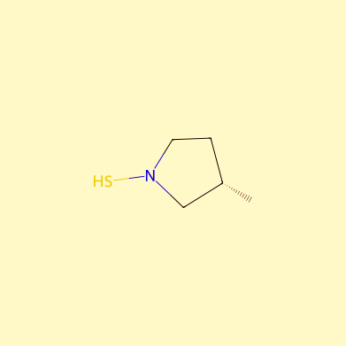 C[C@H]1CCN(S)C1